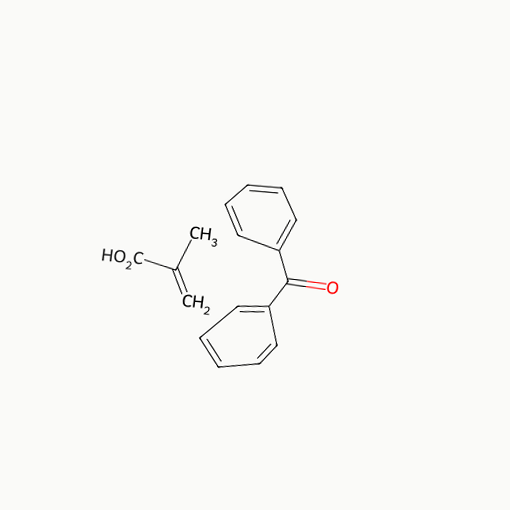 C=C(C)C(=O)O.O=C(c1ccccc1)c1ccccc1